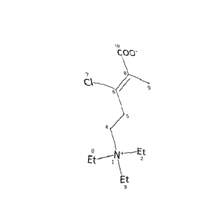 CC[N+](CC)(CC)CCC(Cl)=C(C)C(=O)[O-]